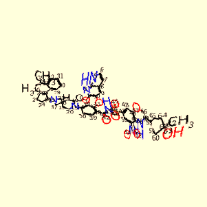 COc1nc2[nH]ccc2cc1Oc1cc(N2CCC3(CC2)CN([C@@H]2CCC[C@@H]2c2ccccc2C(C)C)C3)ccc1C(=O)NS(=O)(=O)c1cc2c(c([N+](=O)[O-])c1)N[C@@H]([C@H]1CC[C@](C)(O)CC1)CO2